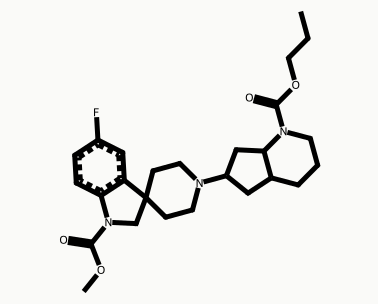 CCCOC(=O)N1CCCC2CC(N3CCC4(CC3)CN(C(=O)OC)c3ccc(F)cc34)CC21